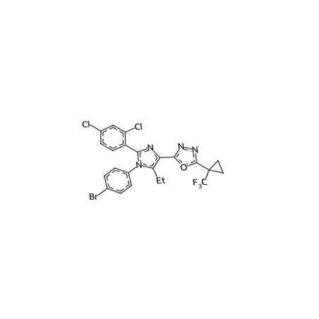 CCc1c(-c2nnc(C3(C(F)(F)F)CC3)o2)nc(-c2ccc(Cl)cc2Cl)n1-c1ccc(Br)cc1